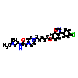 CN(C)CCNC(=O)CN1CCN(CCCCCOc2ccc3c(-c4ccc(Cl)cc4)noc3c2)CC1